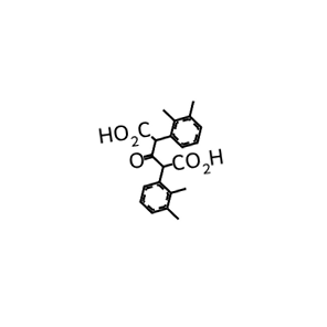 Cc1cccc(C(C(=O)O)C(=O)C(C(=O)O)c2cccc(C)c2C)c1C